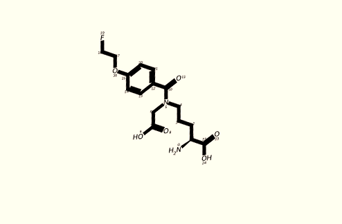 N[C@@H](CCCN(CC(=O)O)C(=O)c1ccc(OCCF)cc1)C(=O)O